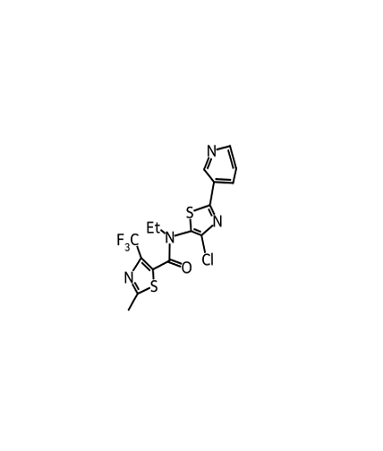 CCN(C(=O)c1sc(C)nc1C(F)(F)F)c1sc(-c2cccnc2)nc1Cl